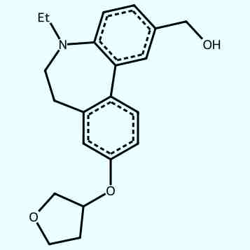 CCN1CCc2cc(OC3CCOC3)ccc2-c2cc(CO)ccc21